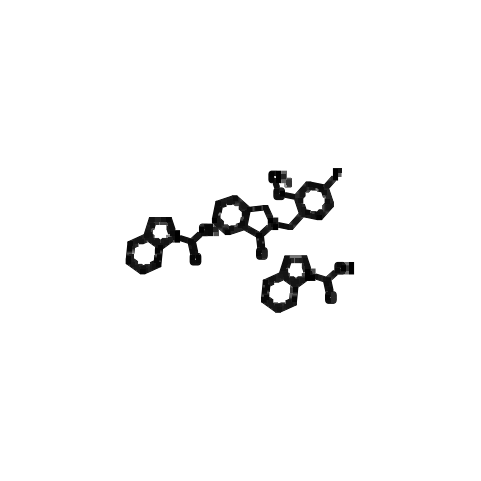 COc1cc(F)ccc1CN1Cc2ccccc2C1=O.O=C(O)n1ccc2ccccc21.O=C(O)n1ccc2ccccc21